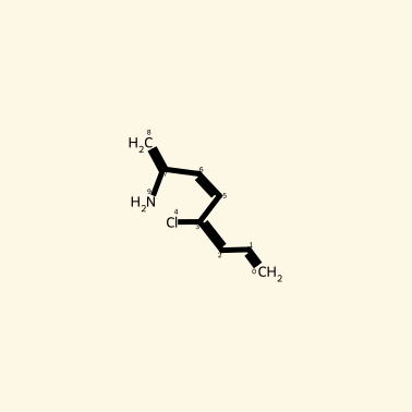 C=C/C=C(Cl)\C=C/C(=C)N